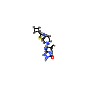 Cc1cn2c(=O)n(C)nc2nc1N1CCc2nc(C3CCC3)sc2C1